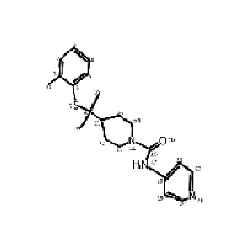 Cc1ccccc1SC(C)(C)C1CCN(C(=O)Nc2ccncc2)CC1